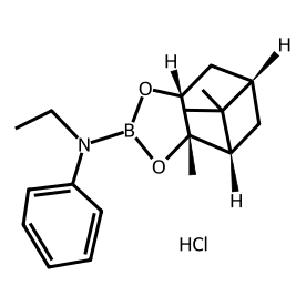 CCN(B1O[C@@H]2C[C@@H]3C[C@@H](C3(C)C)[C@]2(C)O1)c1ccccc1.Cl